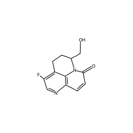 O=c1ccc2ncc(F)c3c2n1C(CO)CC3